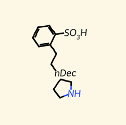 C1CCNC1.CCCCCCCCCCCCc1ccccc1S(=O)(=O)O